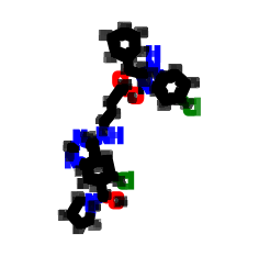 O=C(CCCNc1ncnc2cc(C(=O)N3CCCC3)c(Cl)cc12)OC(c1ccccc1)c1nc2cc(Cl)ccc2[nH]1